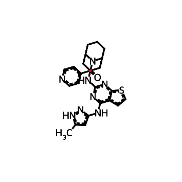 Cc1cc(Nc2nc(NC3CC4CCCC(C3)N4C(=O)c3ccncc3)nc3sccc23)n[nH]1